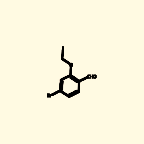 O=Cc1ccc(Br)cc1OCI